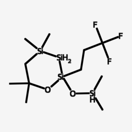 C[SiH](C)O[Si]1(CCC(F)(F)F)OC(C)(C)C[Si](C)(C)[SiH2]1